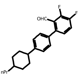 CCCC1CCC(c2ccc(-c3ccc(F)c(F)c3C=O)cc2)CC1